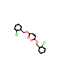 O=C(/C=C\C(=O)OCc1ccccc1Cl)OCc1ccccc1Cl